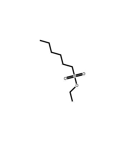 CCCC[CH]CS(=O)(=O)OCC